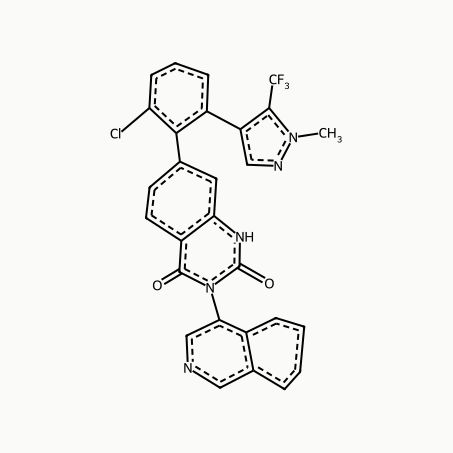 Cn1ncc(-c2cccc(Cl)c2-c2ccc3c(=O)n(-c4cncc5ccccc45)c(=O)[nH]c3c2)c1C(F)(F)F